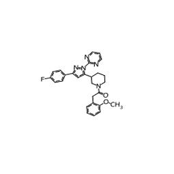 COc1ccccc1CC(=O)N1CCCC(c2cc(-c3ccc(F)cc3)nn2-c2ncccn2)C1